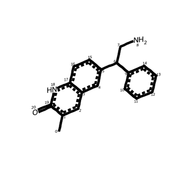 Cc1cc2cc(C(CN)c3ccccc3)ccc2[nH]c1=O